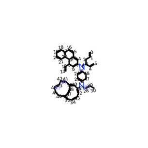 C=CCC(C=C)N(C1=CC(C=C)C2C(=C1)C=CC1C=CC=CC12)C1=CC=C(N(/C=C/C)c2ccccc3ccc(c2)/C=C\C=C\CC3)CC1